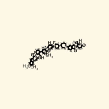 C[C@H]1CC([C@@H]2CCCN(c3ccc4c(c3)C(=O)N(C3CCC(=O)NC3=O)C4=O)CC2)CCN1c1ccc(Nc2cc(-c3ccnc(N4CCn5c(cc6c5CC(C)(C)C6)C4=O)c3CO)cn(C)c2=O)nc1